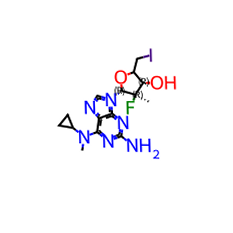 CN(c1nc(N)nc2c1ncn2[C@@H]1OC(CI)[C@@H](O)[C@@]1(C)F)C1CC1